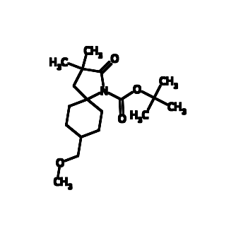 COCC1CCC2(CC1)CC(C)(C)C(=O)N2C(=O)OC(C)(C)C